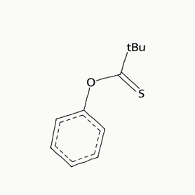 CC(C)(C)C(=S)Oc1ccccc1